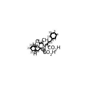 C[C@H](N[C@@H](CCc1ccccc1)C(=O)O)C(=O)N1[C@@H](OC(=O)O)C[C@@H]2CC=C[C@H]21